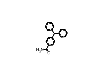 NC(=O)c1ccc(C(c2ccccc2)c2ccccc2)cc1